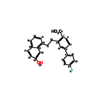 O=C(O)c1ccc(-c2ccc(F)cc2)cc1CCc1cccc2ccc(O)cc12